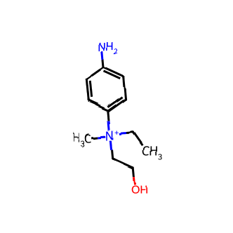 CC[N+](C)(CCO)c1ccc(N)cc1